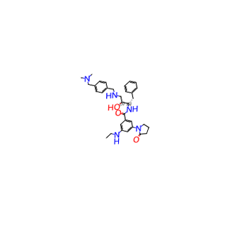 CCNc1cc(C(=O)N[C@@H](Cc2ccccc2)[C@@H](O)CNCc2ccc(CN(C)C)cc2)cc(N2CCCC2=O)c1